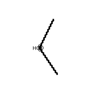 CCCCCCCCCCCCCCCCCCCCOP(=O)(O)OCCCCCCCCCCCCCCCCCCCC